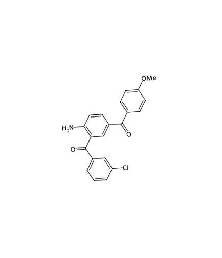 COc1ccc(C(=O)c2ccc(N)c(C(=O)c3cccc(Cl)c3)c2)cc1